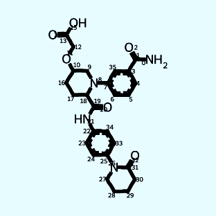 NC(=O)c1cccc(N2CC(OCC(=O)O)CCC2C(=O)Nc2ccc(N3CCCCC3=O)cc2)c1